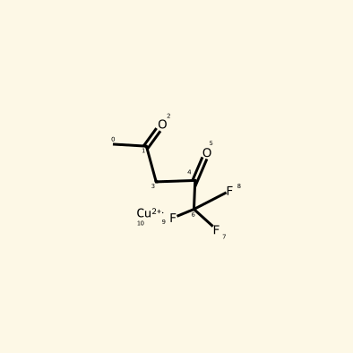 CC(=O)CC(=O)C(F)(F)F.[Cu+2]